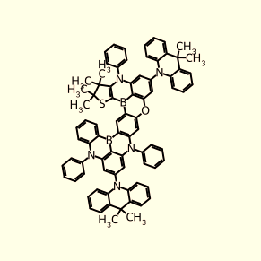 CC1(C)c2ccccc2N(c2cc3c4c(c2)N(c2ccccc2)C2=C(SC(C)(C)C2(C)C)B4c2cc4c(cc2O3)N(c2ccccc2)c2cc(N3c5ccccc5C(C)(C)c5ccccc53)cc3c2B4c2ccccc2N3c2ccccc2)c2ccccc21